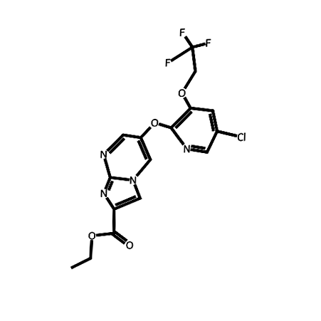 CCOC(=O)c1cn2cc(Oc3ncc(Cl)cc3OCC(F)(F)F)cnc2n1